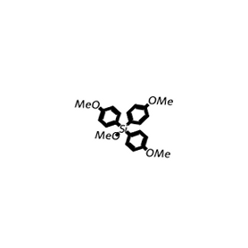 COc1ccc([Si](OC)(c2ccc(OC)cc2)c2ccc(OC)cc2)cc1